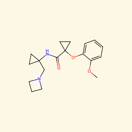 COc1ccccc1OC1(C(=O)NC2(CN3CCC3)CC2)CC1